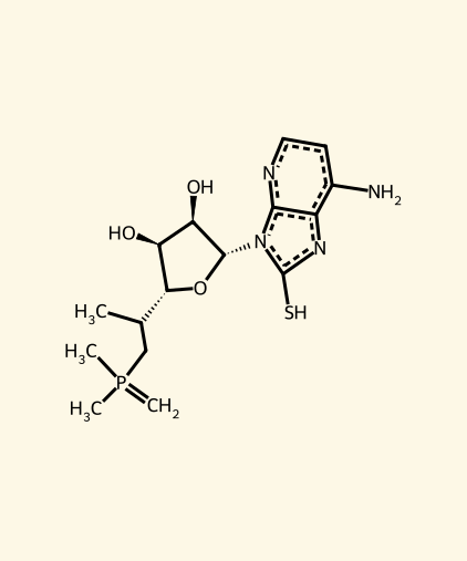 C=P(C)(C)CC(C)[C@H]1O[C@@H](n2c(S)nc3c(N)ccnc32)[C@H](O)[C@@H]1O